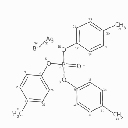 Cc1ccc(OP(=O)(Oc2ccc(C)cc2)Oc2ccc(C)cc2)cc1.[Br][Ag]